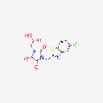 O=C(O)CN1C(=O)C(=O)N(Cc2nc3cc(Cl)ccc3s2)C1=O